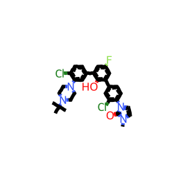 Cn1ccn(-c2ccc(-c3cc(F)cc(-c4ccc(Cl)c(N5CCN(C(C)(C)C)CC5)c4)c3O)cc2Cl)c1=O